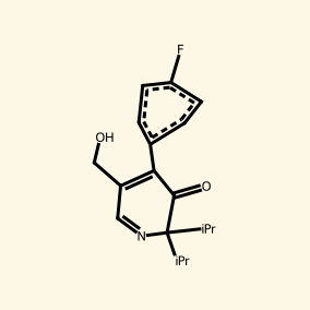 CC(C)C1(C(C)C)N=CC(CO)=C(c2ccc(F)cc2)C1=O